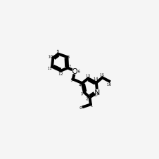 CCc1cc(COc2cc[c]cc2)cc(CC)n1